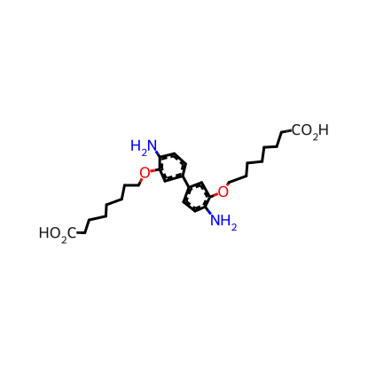 Nc1ccc(-c2ccc(N)c(OCCCCCCCC(=O)O)c2)cc1OCCCCCCCC(=O)O